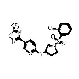 O=S(=O)(c1ccccc1Cl)N1CCC(Oc2ccc(-c3noc(C(F)(F)F)n3)cn2)C1